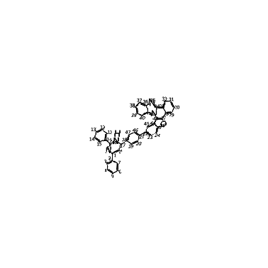 C1=C(c2ccccc2)N=C(c2ccccc2)NC1c1ccc(-c2ccc3oc4c5ccccc5c5nc6ccccc6n5c4c3c2)cc1